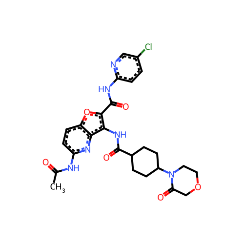 CC(=O)Nc1ccc2oc(C(=O)Nc3ccc(Cl)cn3)c(NC(=O)C3CCC(N4CCOCC4=O)CC3)c2n1